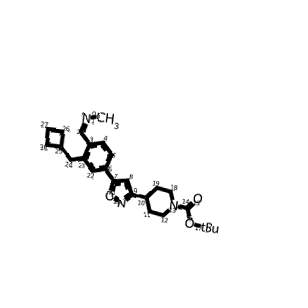 C/N=C\c1ccc(-c2cc(C3CCN(C(=O)OC(C)(C)C)CC3)no2)cc1CC1CCC1